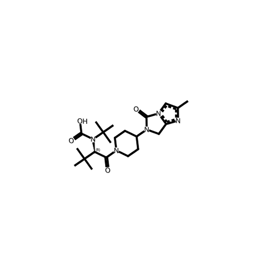 Cc1cn2c(n1)CN(C1CCN(C(=O)[C@H](N(C(=O)O)C(C)(C)C)C(C)(C)C)CC1)C2=O